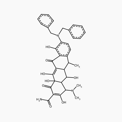 CC1c2ccc(N(Cc3ccccc3)Cc3ccccc3)c(O)c2C(=O)C2=C(O)C3(O)C(=O)C(C(N)=O)=C(O)C(N(C)C)C3C(O)C21